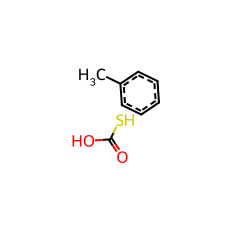 Cc1ccccc1.O=C(O)S